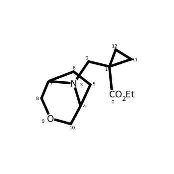 CCOC(=O)C1(CN2C3CCC2COC3)CC1